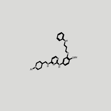 COc1ccc(Nc2nccc(NCC3CCN(C(C)=O)CC3)n2)cc1OCCCNc1ccccc1